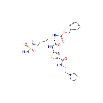 NS(=O)(=O)NCCCC[C@H](NC(=O)OCc1ccccc1)C(=O)Nc1nc(C(=O)NCCN2CCCC2)cs1